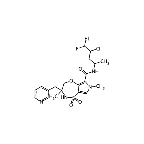 CCC(F)C(Cl)CC(C)NC(=O)c1c2c(cn1C)S(=O)(=O)NC(C)(Cc1cccnc1)CO2